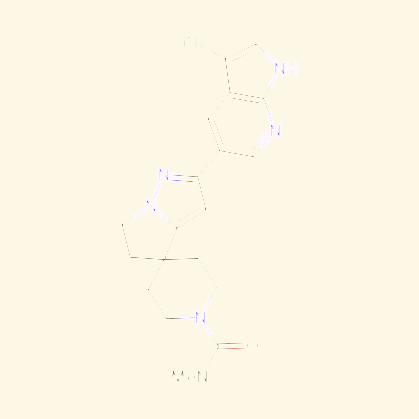 CNC(=O)N1CCC2(CC1)CCn1nc(-c3cnc4[nH]cc(Cl)c4c3)cc12